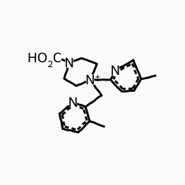 Cc1ccc([N+]2(Cc3ncccc3C)CCN(C(=O)O)CC2)nc1